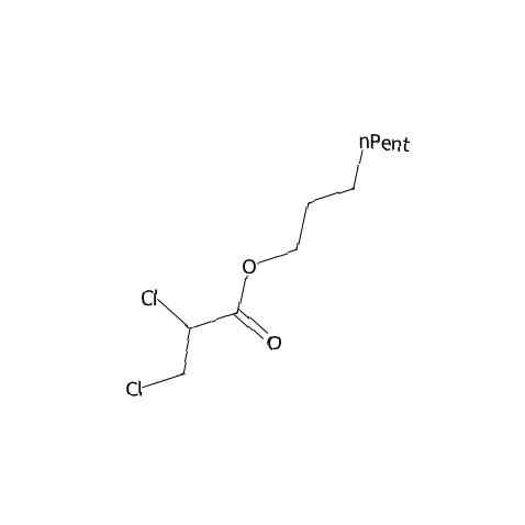 CCCCCCCCOC(=O)C(Cl)CCl